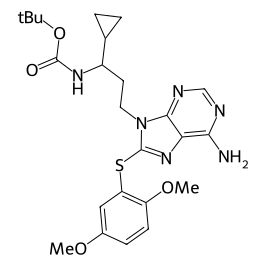 COc1ccc(OC)c(Sc2nc3c(N)ncnc3n2CCC(NC(=O)OC(C)(C)C)C2CC2)c1